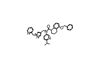 CC(C)c1ccc(N(Cc2cnn(Cc3ccccn3)c2)C(=O)C2CCCc3c(OCc4ccccc4)cccc32)cn1